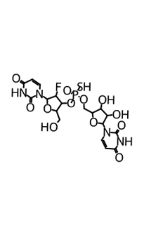 O=c1ccn(C2OC(COP(=O)(S)OC3C(CO)OC(n4ccc(=O)[nH]c4=O)C3F)C(O)C2O)c(=O)[nH]1